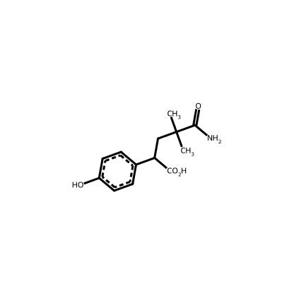 CC(C)(CC(C(=O)O)c1ccc(O)cc1)C(N)=O